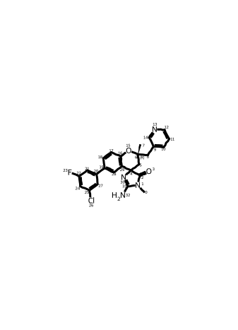 CN1C(=O)C2(C[C@@](C)(Cc3cccnc3)Oc3ccc(-c4cc(F)cc(Cl)c4)cc32)N=C1N